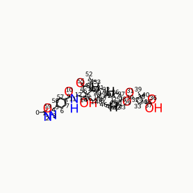 Cc1nnc(-c2ccc(C(=O)NC[C@H](O)[C@@]34CC[C@]5(C)[C@H](CC[C@@H]6[C@@]7(C)CC[C@H](OC(=O)[C@H]8C[C@@H](C(=O)O)C8(C)C)C(C)(C)[C@@H]7CC[C@]65C)C3=C(C(C)C)C(=O)C4)cc2)o1